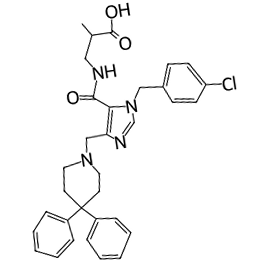 CC(CNC(=O)c1c(CN2CCC(c3ccccc3)(c3ccccc3)CC2)ncn1Cc1ccc(Cl)cc1)C(=O)O